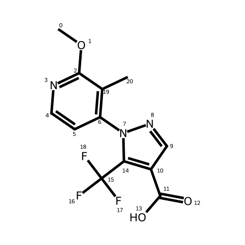 COc1nccc(-n2ncc(C(=O)O)c2C(F)(F)F)c1C